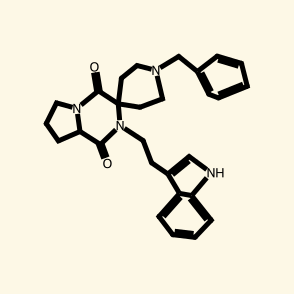 O=C1C2CCCN2C(=O)C2(CCN(Cc3ccccc3)CC2)N1CCc1c[nH]c2ccccc12